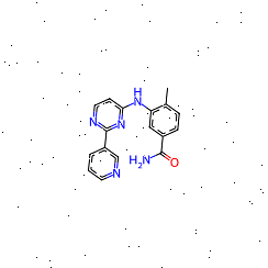 Cc1ccc(C(N)=O)cc1Nc1ccnc(-c2cccnc2)n1